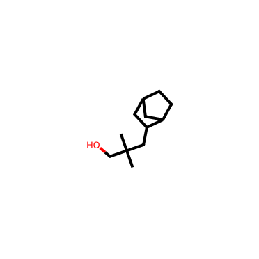 CC(C)(CO)CC1CC2CCC1C2